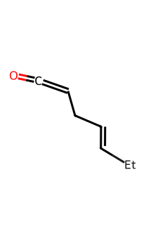 CC/C=C/CC=C=O